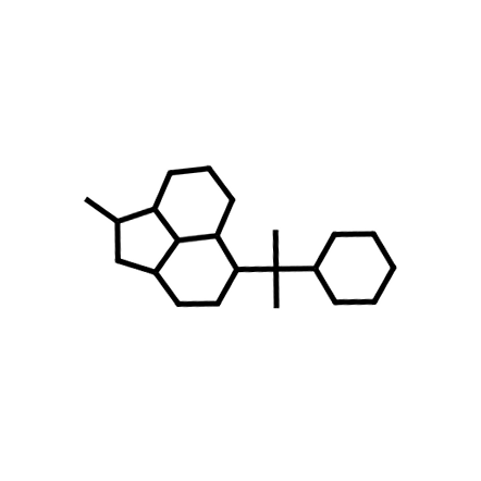 CC1CC2CCC(C(C)(C)C3CCCCC3)C3CCCC1C23